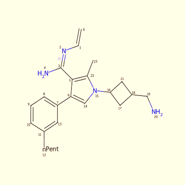 C=C/N=C(/N)c1c(-c2cccc(CCCCC)c2)cn(C2CC(CN)C2)c1C